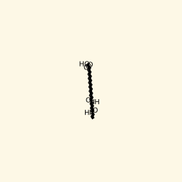 CCCNC(=O)CCCNC(=O)CCCCCCCCCCCCCCCS(=O)(=O)O